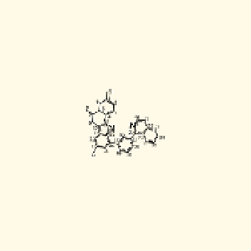 CC1=CC=C2C(C1)C(C)Cc1c3cc(C)cc(-c4cccc(-c5nccc6ccccc56)c4)c3nn12